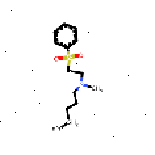 CCC[SiH2]CCCN(C)CCS(=O)(=O)c1ccccc1